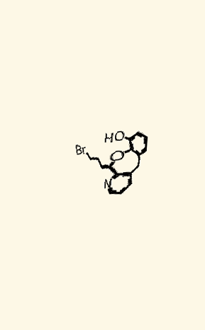 Oc1cccc2c1OC(=CCCBr)c1ncccc1C2